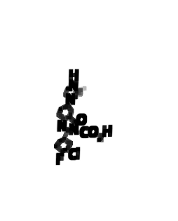 C[C@@H]1CN(c2ccc3nc(-c4ccc(F)c(Cl)c4)n(CC(=O)O)c(=O)c3c2)CCN1